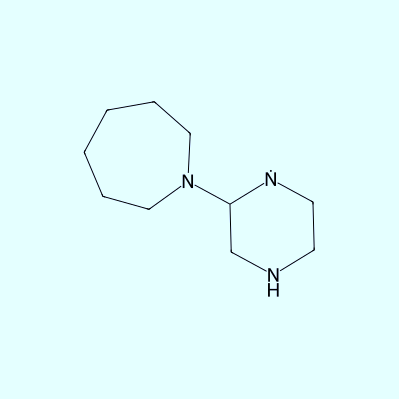 C1CCCN(C2CNCC[N]2)CC1